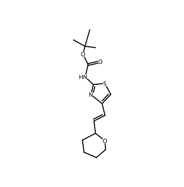 CC(C)(C)OC(=O)Nc1nc(C=CC2CCCCO2)cs1